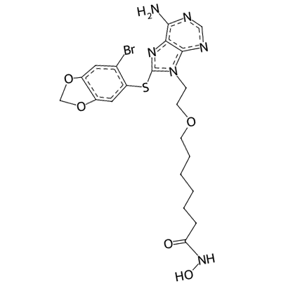 Nc1ncnc2c1nc(Sc1cc3c(cc1Br)OCO3)n2CCOCCCCCCC(=O)NO